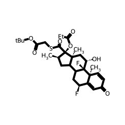 CCC(=O)O[C@]1(C(=O)SCC(=O)OC(C)(C)C)[C@H](C)CC2C3C[C@H](F)C4=CC(=O)C=C[C@]4(C)[C@@]3(F)[C@@H](O)C[C@@]21C